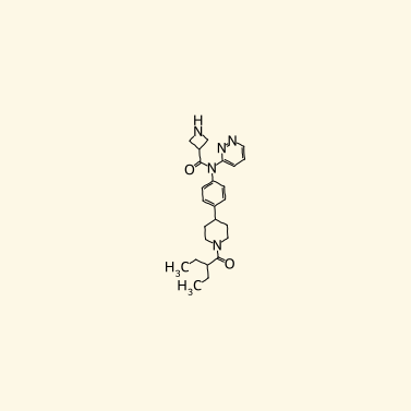 CCC(CC)C(=O)N1CCC(c2ccc(N(C(=O)C3CNC3)c3cccnn3)cc2)CC1